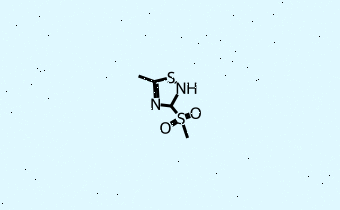 CC1=NC(S(C)(=O)=O)NS1